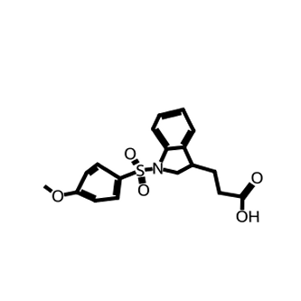 COc1ccc(S(=O)(=O)N2CC(CCC(=O)O)c3ccccc32)cc1